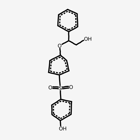 O=S(=O)(c1ccc(O)cc1)c1ccc(OC(CO)c2ccccc2)cc1